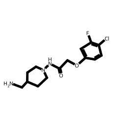 NCC1CCN(NC(=O)COc2ccc(Cl)c(F)c2)CC1